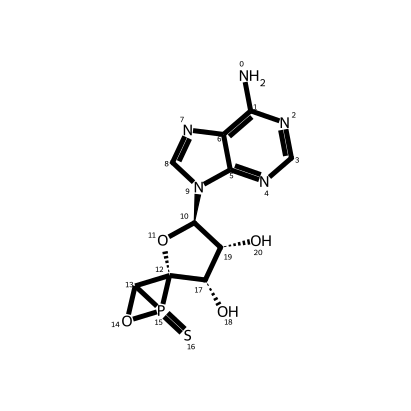 Nc1ncnc2c1ncn2[C@@H]1O[C@]2(C3OP32=S)[C@@H](O)[C@H]1O